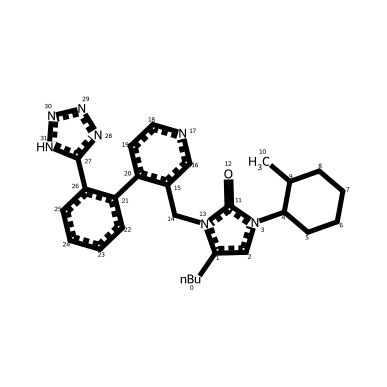 CCCCc1cn(C2CCCCC2C)c(=O)n1Cc1cnccc1-c1ccccc1-c1nnn[nH]1